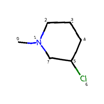 CN1C[CH]CC(Cl)C1